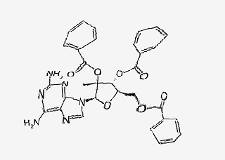 C[C@@]1(OC(=O)c2ccccc2)[C@H](OC(=O)c2ccccc2)[C@@H](COC(=O)c2ccccc2)O[C@H]1n1cnc2c(N)nc(N)nc21